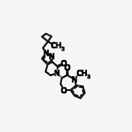 CN1C(=O)[C@@H](N2CCc3cn(CC4(C)CCC4)nc3C2=O)COc2ccccc21